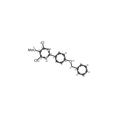 COc1c(Cl)nc(-c2ccc(OCc3ccccc3)cc2)nc1Cl